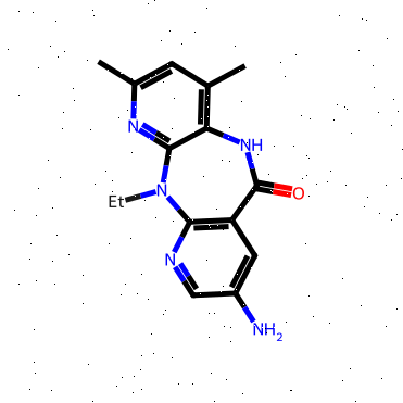 CCN1c2ncc(N)cc2C(=O)Nc2c(C)cc(C)nc21